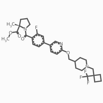 COC(=O)[C@]1(C)CCCN1C(=O)c1ccc(-c2ccc(OCC3CCN(CC4(C(F)(F)F)CCC4)CC3)nc2)cc1F